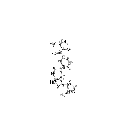 CN(C)C(=O)C(=O)c1cncc(-c2cnc3[nH]cc(-c4ccnn4C)c3c2)c1